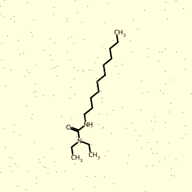 CCCCCCCCCCCNC(=O)N(CC)CC